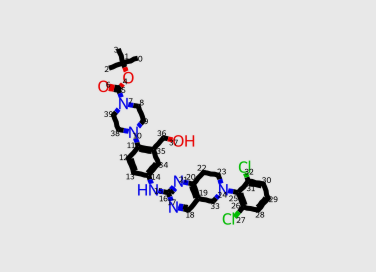 CC(C)(C)OC(=O)N1CCN(c2ccc(Nc3ncc4c(n3)CCN(c3c(Cl)cccc3Cl)C4)cc2CO)CC1